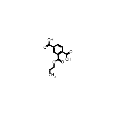 CCCOC(=O)c1cc(C(=O)O)ccc1C(=O)O